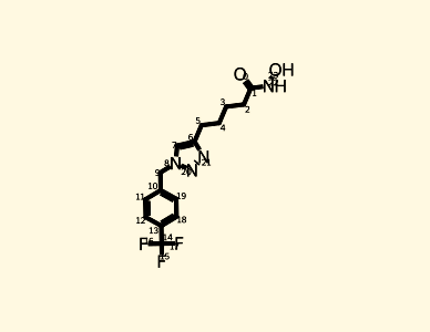 O=C(CCCCc1cn(Cc2ccc(C(F)(F)F)cc2)nn1)NO